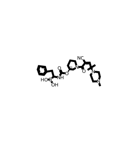 CN1CCN(C(C)(C)C=C(C#N)C(=O)N2CCC[C@H](OC(=O)NC(Cc3ccccc3)B(O)O)C2)CC1